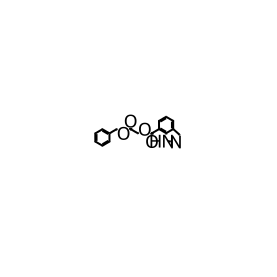 O=C(COC(=O)c1cccc2cn[nH]c12)OCc1ccccc1